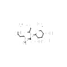 COCC(C)N(C(=O)N(CCCl)N=O)C1O[C@H](CO)[C@H](O)[C@H](O)[C@H]1O